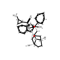 Cc1nc2ccccc2n1[C@@H]1C[C@H]2CC[C@@H](C1)N2CC[C@H](NC(=O)C1CC1C)c1ccccc1